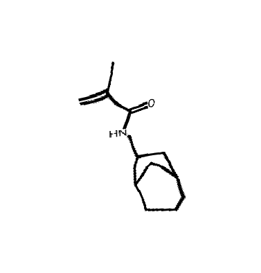 C=C(C)C(=O)NC1CC2CCC1C2